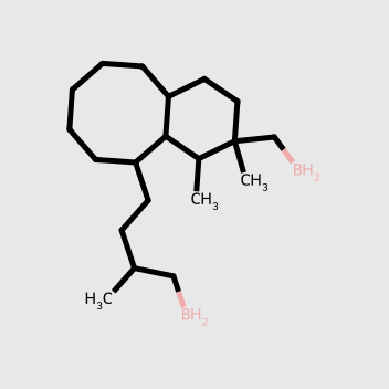 BCC(C)CCC1CCCCCC2CCC(C)(CB)C(C)C12